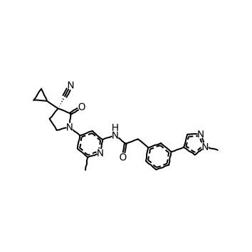 Cc1cc(N2CC[C@@](C#N)(C3CC3)C2=O)cc(NC(=O)Cc2cccc(-c3cnn(C)c3)c2)n1